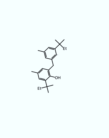 CCC(C)(C)c1[c]c(Cc2cc(C)cc(C(C)(C)CC)c2O)cc(C)c1